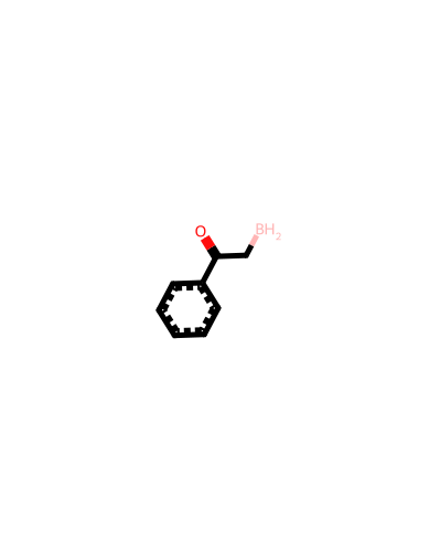 BCC(=O)c1ccccc1